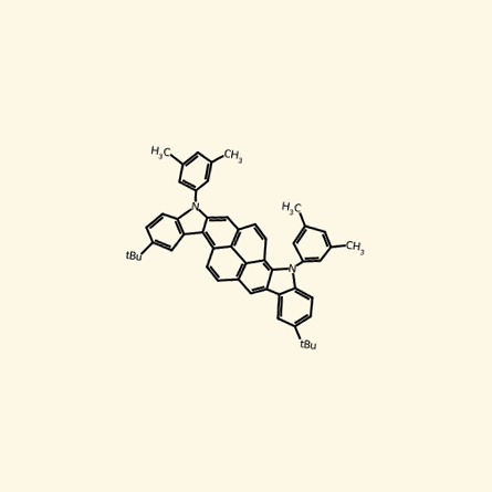 Cc1cc(C)cc(-n2c3ccc(C(C)(C)C)cc3c3c4ccc5cc6c7cc(C(C)(C)C)ccc7n(-c7cc(C)cc(C)c7)c6c6ccc(cc32)c4c56)c1